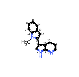 Cn1c(-c2c[nH]c3ncccc23)cc2cc[c]cc21